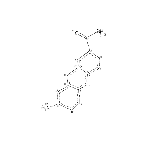 NC(=O)c1ccc2cc3ccc(N)cc3cc2c1